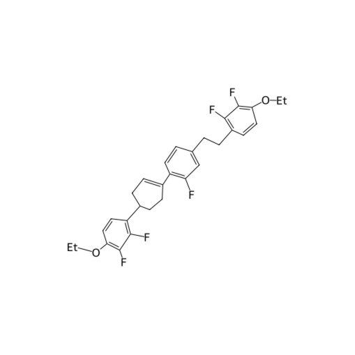 CCOc1ccc(CCc2ccc(C3=CCC(c4ccc(OCC)c(F)c4F)CC3)c(F)c2)c(F)c1F